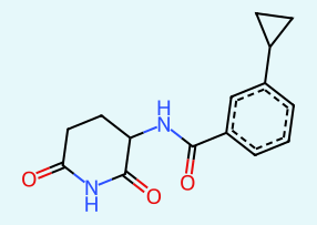 O=C1CCC(NC(=O)c2cccc(C3CC3)c2)C(=O)N1